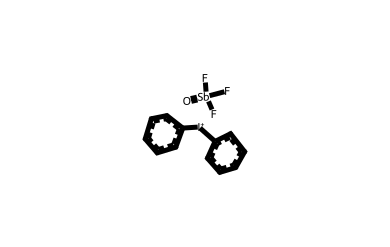 [O]=[Sb]([F])([F])[F].c1ccc([I+]c2ccccc2)cc1